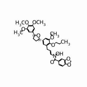 CCCOc1c(CC=CN(O)C(=O)c2ccc3c(c2)OCO3)cc([C@@H]2CC[C@@H](c3cc(OC)c(OC)c(OC)c3)O2)cc1OC